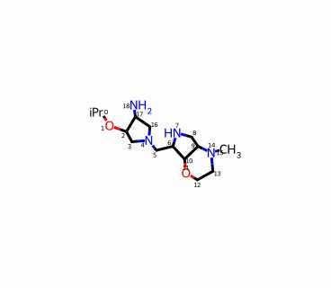 CC(C)OC1CN(CC2NCC3C2OCCN3C)CC1N